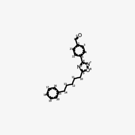 O=Cc1ccc(-c2noc(CCCCCc3ccccc3)n2)cc1